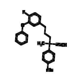 C#CC(C)(CCCc1ccc(F)c(Oc2ccccc2)c1)c1ccc(CCCC)cc1